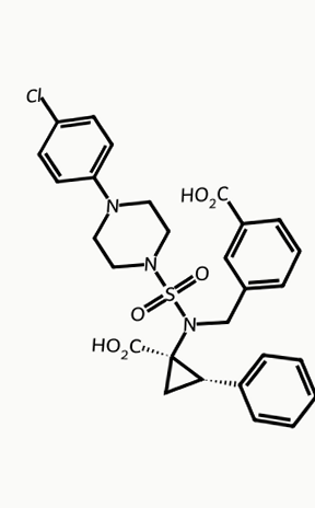 O=C(O)c1cccc(CN([C@]2(C(=O)O)C[C@H]2c2ccccc2)S(=O)(=O)N2CCN(c3ccc(Cl)cc3)CC2)c1